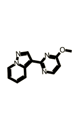 COc1ccnc(-c2cnn3ccccc23)n1